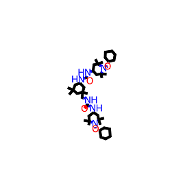 CC1(C)CC(NC(=O)NC2CC(C)(C)N(OC3CCCCC3)C(C)(C)C2)CC(C)(CNC(=O)NC2CC(C)(C)N(OC3CCCCC3)C(C)(C)C2)C1